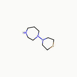 C1CNCCN(N2CCSCC2)C1